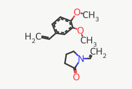 C=CN1CCCC1=O.C=Cc1ccc(OC)c(OC)c1